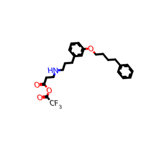 O=C(CCNCCCc1cccc(OCCCCc2ccccc2)c1)OC(=O)C(F)(F)F